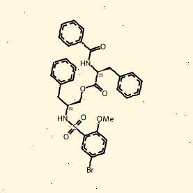 COc1ccc(Br)cc1S(=O)(=O)N[C@H](COC(=O)[C@H](Cc1ccccc1)NC(=O)c1ccccc1)Cc1ccccc1